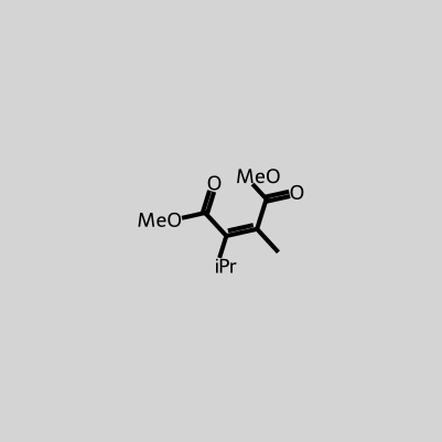 COC(=O)C(C)=C(C(=O)OC)C(C)C